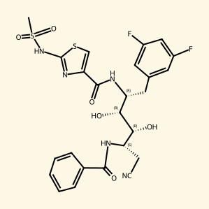 CS(=O)(=O)Nc1nc(C(=O)N[C@H](Cc2cc(F)cc(F)c2)[C@@H](O)[C@H](O)[C@H](CC#N)NC(=O)c2ccccc2)cs1